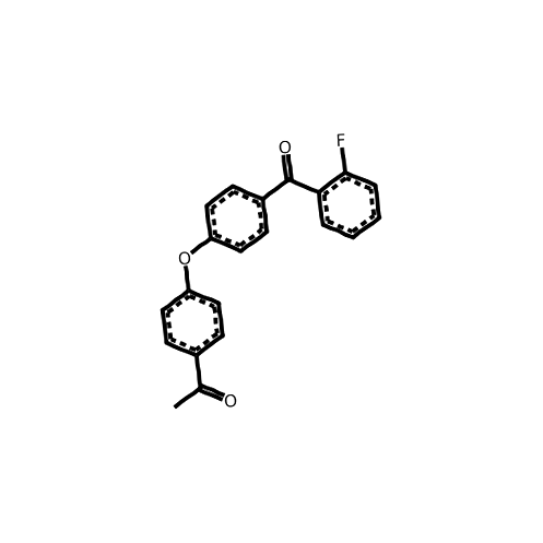 CC(=O)c1ccc(Oc2ccc(C(=O)c3ccccc3F)cc2)cc1